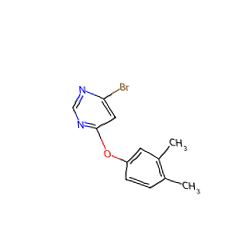 Cc1ccc(Oc2cc(Br)ncn2)cc1C